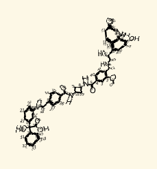 COc1cc(C(=O)N[C@H]2C[C@H](NC(=O)c3ccc(COc4cccc([C@](O)(C(=O)O)c5ccccc5)c4)cc3)C2)ccc1CNC[C@H](O)c1ccc(O)c2[nH]c(=O)ccc12